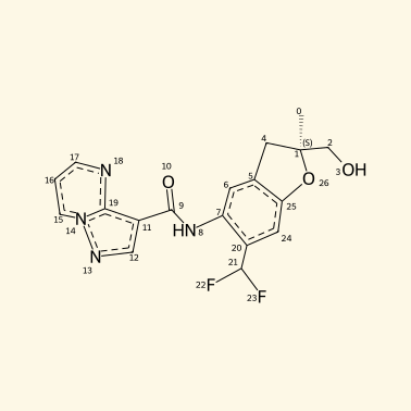 C[C@@]1(CO)Cc2cc(NC(=O)c3cnn4cccnc34)c(C(F)F)cc2O1